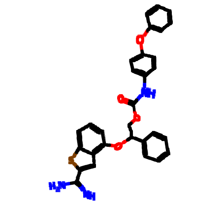 N=C(N)c1cc2c(OC(COC(=O)Nc3ccc(Oc4ccccc4)cc3)c3ccccc3)cccc2s1